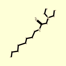 CCCCCCCCOC(=O)CN(CC)CC